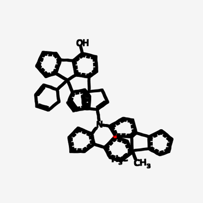 CC1(C)c2ccccc2-c2ccc(N(C3=CCC(c4ccc(O)c5c4C(c4c#cccc4)(C4C=CC=CC4)c4ccccc4-5)C=C3)c3ccccc3-c3ccccc3)cc21